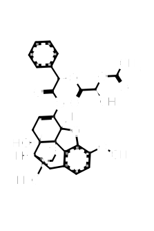 COc1ccc2c3c1O[C@@H]1C(OC(=O)[C@@H](OC(=O)[C@H](C)OC(C)=O)c4ccccc4)=CC[C@]4(O)[C@H](C2)N(C)CC[C@@]314